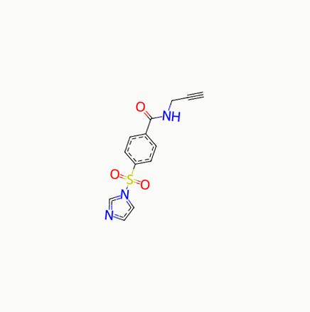 C#CCNC(=O)c1ccc(S(=O)(=O)n2ccnc2)cc1